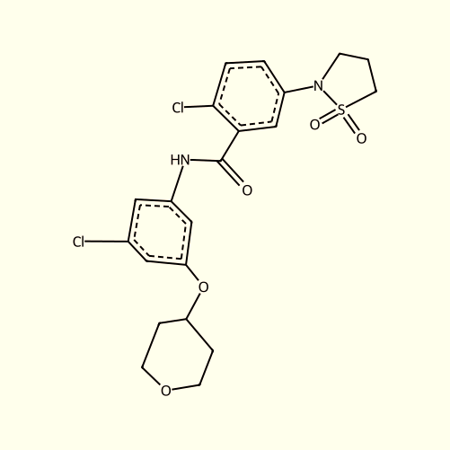 O=C(Nc1cc(Cl)cc(OC2CCOCC2)c1)c1cc(N2CCCS2(=O)=O)ccc1Cl